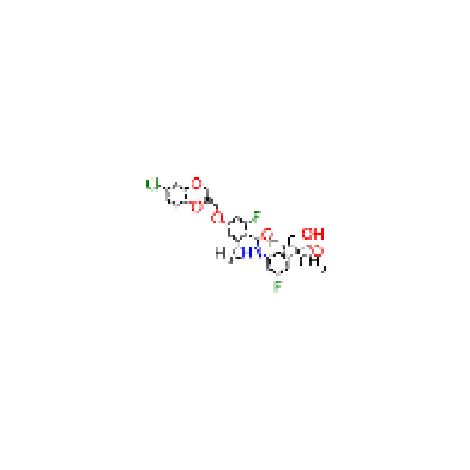 Cc1cc(OC[C@@H]2COc3cc(Cl)ccc3O2)cc(F)c1C(=O)Nc1cc(F)cc(C(C)(C)C(=O)O)c1